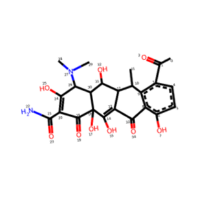 CC(=O)c1ccc(O)c2c1C(C)C1C(=C(O)C3(O)C(=O)C(C(N)=O)=C(O)C(N(C)C)C3C1O)C2=O